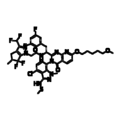 COCCCCCOc1ccc2c(=O)n(-c3ccc(Cl)c4c(NSC)nn(C)c34)c(C(Cc3cc(F)cc(F)c3)NC(=O)Cn3nc(C(F)F)c4c3C(F)(F)C(C)C4)nc2n1